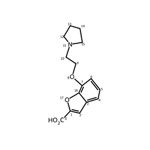 O=C(O)c1cc2cccc(OCCN3CCCC3)c2o1